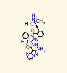 C[C@@H](NC(=O)c1c(N)nn2cccnc12)c1nc2cccc(C#CC(C)(C)N)c2c(=O)n1-c1ccccc1